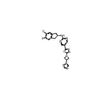 Fc1cc2c(cc1F)CC(Nc1ncc(-c3nnc(N4CC(n5cncn5)C4)o3)cn1)C2